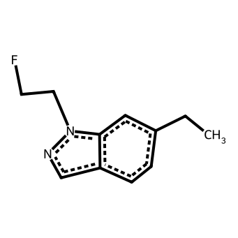 CCc1ccc2cnn(CCF)c2c1